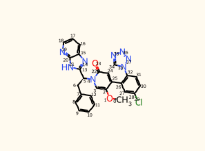 COc1cn([C@@H](Cc2ccccc2)c2nc3cccnc3[nH]2)c(=O)cc1-c1cc(Cl)ccc1-n1cnnn1